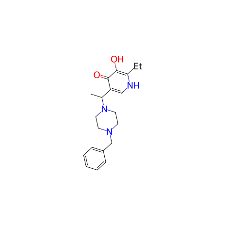 CCc1[nH]cc(C(C)N2CCN(Cc3ccccc3)CC2)c(=O)c1O